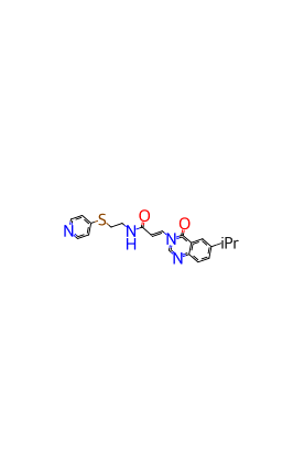 CC(C)c1ccc2ncn(C=CC(=O)NCCSc3ccncc3)c(=O)c2c1